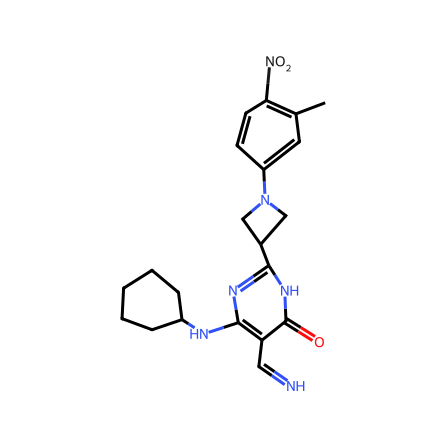 Cc1cc(N2CC(c3nc(NC4CCCCC4)c(C=N)c(=O)[nH]3)C2)ccc1[N+](=O)[O-]